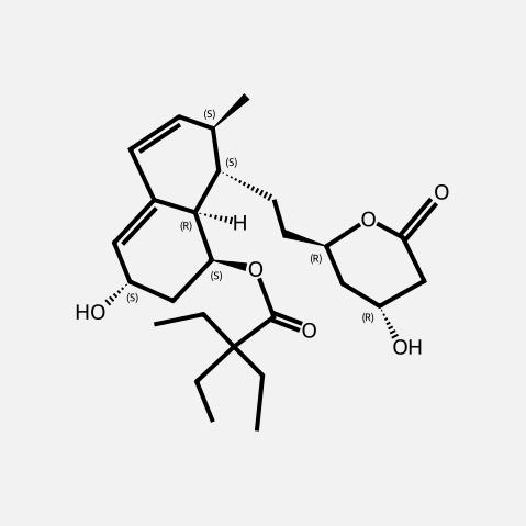 CCC(CC)(CC)C(=O)O[C@H]1C[C@H](O)C=C2C=C[C@@H](C)[C@H](CC[C@@H]3C[C@@H](O)CC(=O)O3)[C@H]21